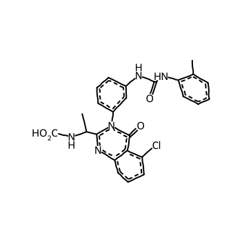 Cc1ccccc1NC(=O)Nc1cccc(-n2c(C(C)NC(=O)O)nc3cccc(Cl)c3c2=O)c1